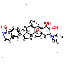 CC1=C2C=C3[C@@H](O)[C@H](O)[C@@H](N(C)C)C[C@]34CC[C@]2(O4)C2CC=C(c3ccc4c(O)nccc4c3)[C@@]2(C)C1